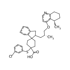 C[C@@H](COc1ccnc2c1[C@H](C)CCC2)CC1Cc2ccccc2C12CCC(Sc1cccc(Cl)c1)(C(=O)O)CC2